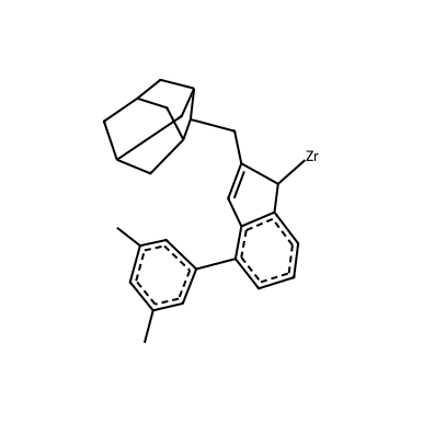 Cc1cc(C)cc(-c2cccc3c2C=C(CC2C4CC5CC(C4)CC2C5)[CH]3[Zr])c1